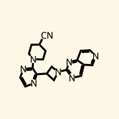 N#CC1CCN(c2nccnc2C2CN(c3ncc4cnccc4n3)C2)CC1